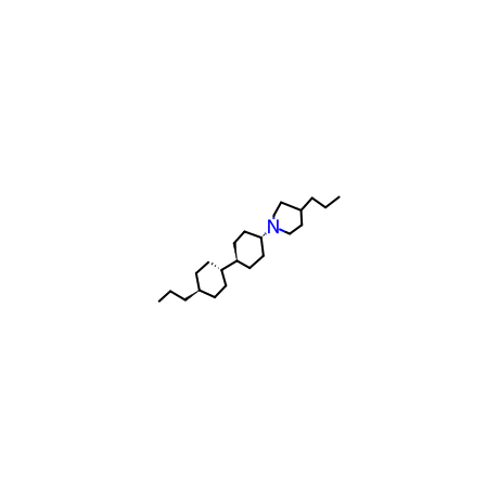 CCCC1CCN([C@H]2CC[C@H]([C@H]3CC[C@H](CCC)CC3)CC2)CC1